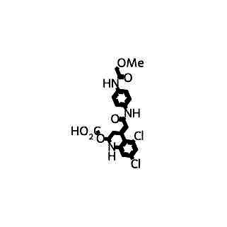 COCC(=O)Nc1ccc(NC(=O)/C=C2\CC(OC(=O)O)Nc3cc(Cl)cc(Cl)c32)cc1